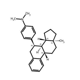 CN(C)c1ccc([C@@H]2Cc3ccccc3[C@H]3CC[C@]4(C)CCC[C@H]4[C@@H]32)cc1